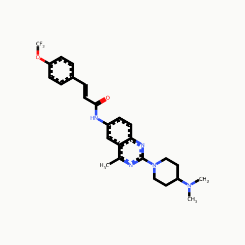 Cc1nc(N2CCC(N(C)C)CC2)nc2ccc(NC(=O)/C=C/c3ccc(OC(F)(F)F)cc3)cc12